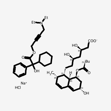 CCN(CC)CC#CCOC(=O)C(O)(c1ccccc1)C1CCCCC1.CC[C@H](C)C(=O)O[C@H]1C[C@H](O)C=C2C=C[C@H](C)[C@H](CC[C@@H](O)C[C@@H](O)CC(=O)[O-])[C@H]21.Cl.[Na+]